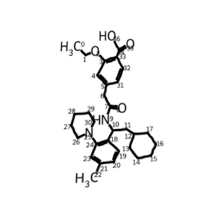 CCOc1cc(CC(=O)NC(CC2CCCCC2)c2ccc(C)cc2N2CCCCC2)ccc1C(=O)O